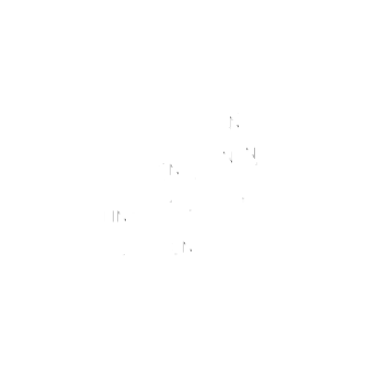 CC1=C(C#N)C(c2cccc(-n3cncn3)c2)C(C#N)=C(C)N1